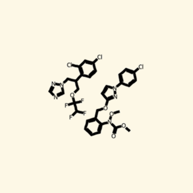 COC(=O)N(OC)c1ccccc1COc1ccn(-c2ccc(Cl)cc2)n1.FC(F)C(F)(F)OCC(Cn1cncn1)c1ccc(Cl)cc1Cl